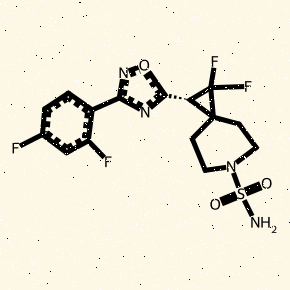 NS(=O)(=O)N1CCC2(CC1)[C@H](c1nc(-c3ccc(F)cc3F)no1)C2(F)F